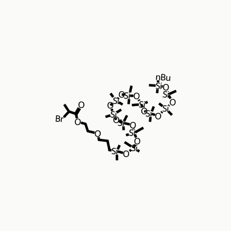 CCCC[Si](C)(C)O[Si](C)(C)O[Si](C)(C)O[Si](C)(C)O[Si](C)(C)O[Si](C)(C)O[Si](C)(C)O[Si](C)(C)O[Si](C)(C)O[Si](C)(C)O[Si](C)(C)O[Si](C)(C)CCCOCCOC(=O)C(C)Br